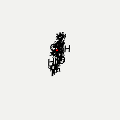 O=C(NCc1cccc(F)c1F)N1CC[C@@](O)(Cn2cnc(-c3ccccc3)cc2=O)C2(CCCC2)C1